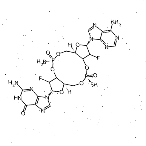 B[P@]1(=O)OC[C@H]2O[C@@H](n3cnc4c(N)ncnc43)C(F)C2O[P@@](=O)(S)OC[C@H]2O[C@@H](n3cnc4c(=O)[nH]c(N)nc43)C(F)C2O1